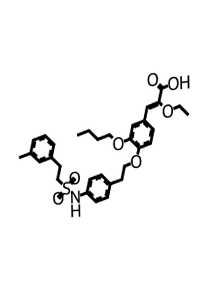 CCCCOc1cc(C=C(OCC)C(=O)O)ccc1OCCc1ccc(NS(=O)(=O)CCc2cccc(C)c2)cc1